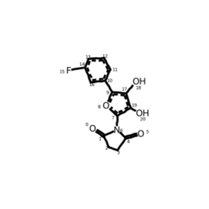 O=C1CCC(=O)N1c1oc(-c2cccc(F)c2)c(O)c1O